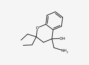 CCC1(CC)CC(O)(CN)c2ccccc2O1